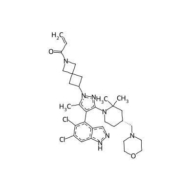 C=CC(=O)N1CC2(CC(n3nc(N4CC[C@@H](CN5CCOCC5)CC4(C)C)c(-c4c(Cl)c(Cl)cc5[nH]ncc45)c3C)C2)C1